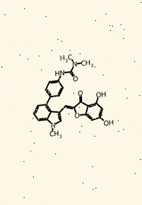 CN(C)C(=O)Nc1ccc(-c2cccc3c2c(C=C2Oc4cc(O)cc(O)c4C2=O)cn3C)cc1